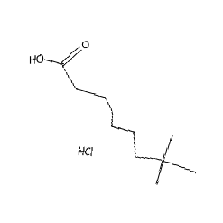 CC(C)(C)CCCCCC(=O)O.Cl